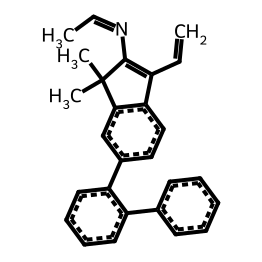 C=CC1=C(/N=C\C)C(C)(C)c2cc(-c3ccccc3-c3ccccc3)ccc21